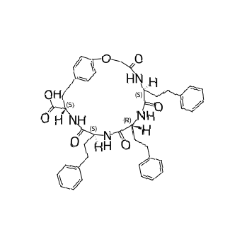 O=C1COc2ccc(cc2)C[C@@H](C(=O)O)NC(=O)[C@H](CCc2ccccc2)NC(=O)[C@@H](CCc2ccccc2)NC(=O)[C@H](CCc2ccccc2)N1